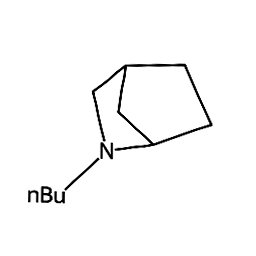 CCCCN1CC2CCC1C2